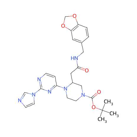 CC(C)(C)OC(=O)N1CCN(c2ccnc(-n3ccnc3)n2)C(CC(=O)NCc2ccc3c(c2)OCO3)C1